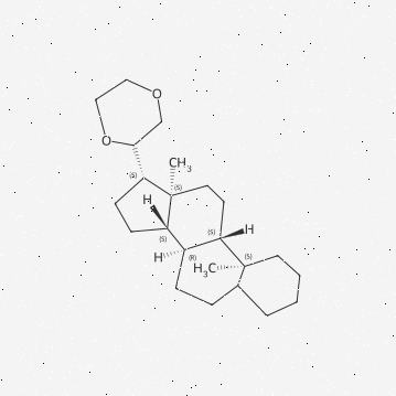 C[C@]12CC[C@H]3[C@@H](CCC4CCCC[C@@]43C)[C@@H]1CC[C@@H]2C1COCCO1